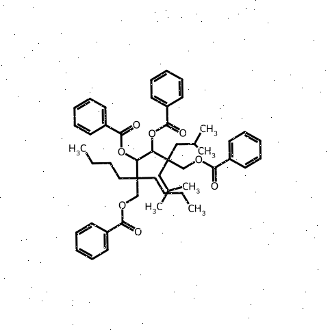 CCCCC(CCCC)(COC(=O)c1ccccc1)C(OC(=O)c1ccccc1)C(OC(=O)c1ccccc1)C(COC(=O)c1ccccc1)(CC(C)C)CC(C)C